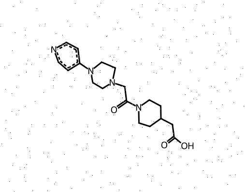 O=C(O)CC1CCN(C(=O)CN2CCN(c3ccncc3)CC2)CC1